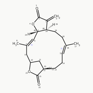 C=C1C(=O)O[C@H]2/C=C(\C)CC3C[C@H](CC/C=C(\C)CC[C@H]12)C(=O)O3